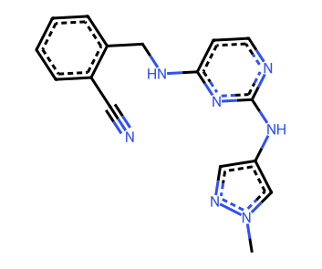 Cn1cc(Nc2nccc(NCc3ccccc3C#N)n2)cn1